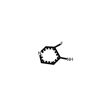 [NH]c1ccncc1F